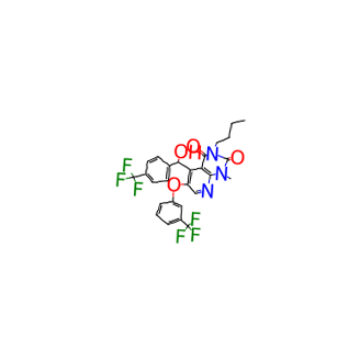 CCCCn1c(=O)c2c(C(O)c3ccc(C(F)(F)F)cc3)c(Oc3cccc(C(F)(F)F)c3)cnc2n(C)c1=O